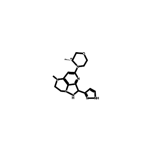 C[C@@H]1COCCN1c1cc2c3c(n1)C(c1cc[nH]n1)NN3CCN2C